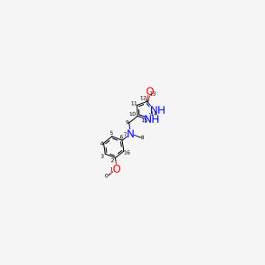 COc1cccc(N(C)Cc2cc(=O)[nH][nH]2)c1